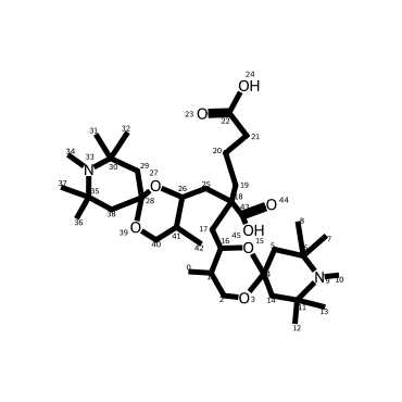 CC1COC2(CC(C)(C)N(C)C(C)(C)C2)OC1CC(CCCC(=O)O)(CC1OC2(CC(C)(C)N(C)C(C)(C)C2)OCC1C)C(=O)O